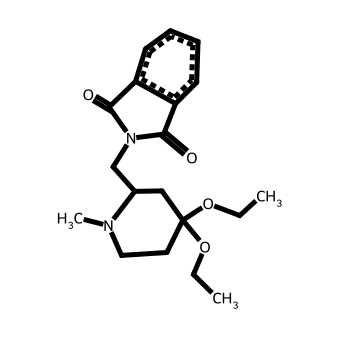 CCOC1(OCC)CCN(C)C(CN2C(=O)c3ccccc3C2=O)C1